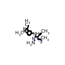 CC#CC(/C=C(\C)F)=C(/N=C/N)Nc1ccc2c(c1)c(CC)nn2C